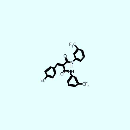 CCc1ccc(C=C(C(=O)Nc2cccc(C(F)(F)F)c2)C(=O)Nc2cccc(C(F)(F)F)c2)cc1